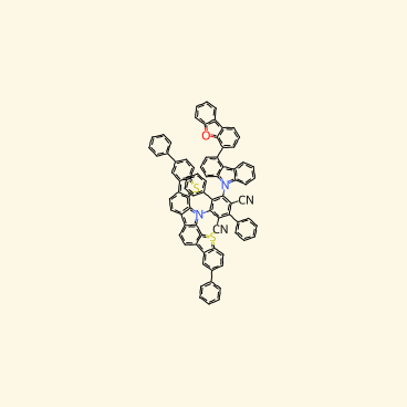 N#Cc1c(-c2ccccc2)c(C#N)c(-n2c3c(ccc4c5cc(-c6ccccc6)ccc5sc43)c3ccc4c5cc(-c6ccccc6)ccc5sc4c32)c(-c2ccccc2)c1-n1c2ccccc2c2c(-c3cccc4c3oc3ccccc34)cccc21